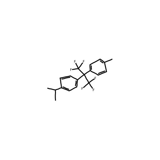 Cc1ccc(C(c2ccc(C(C)C)cc2)(C(F)(F)F)C(F)(F)F)cc1